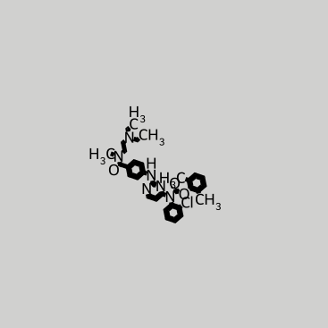 CCN(CC)CCN(C)C(=O)c1ccc(Nc2nccc(N(C(=O)Oc3c(C)cccc3C)c3ccccc3Cl)n2)cc1